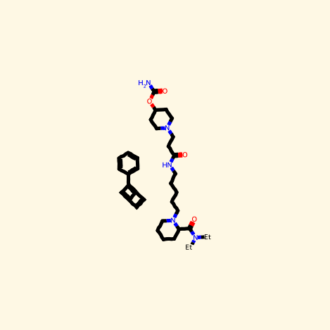 CCN(CC)C(=O)C1CCCCN1CCCCCNC(=O)CCN1CCC(OC(N)=O)CC1.c1ccc(-c2cc3ccc2-3)cc1